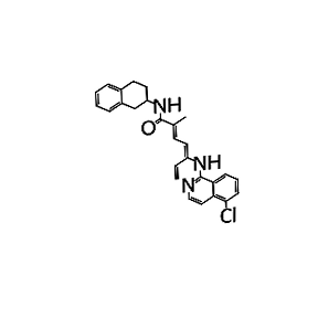 C=C/C(=C\C=C(/C)C(=O)NC1CCc2ccccc2C1)Nc1nccc2c(Cl)cccc12